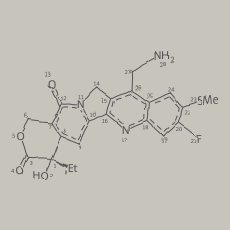 CC[C@@]1(O)C(=O)OCc2c1cc1n(c2=O)Cc2c-1nc1cc(F)c(SC)cc1c2CN